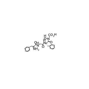 N[C@@H](Cc1ccccc1)C(=O)NCC(=O)N[C@@H](Cc1ccccc1)C(=O)N(O)CC(=O)O